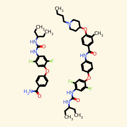 CCC(CC)NC(=O)Nc1cc(F)c(Oc2ccc(C(N)=O)cc2)cc1F.CCCCN1CCC(Oc2ccc(C(=O)Nc3ccc(Oc4cc(F)c(NC(=O)NC(CC)CC)cc4F)cc3)cc2C)CC1